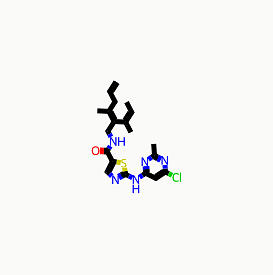 C=CC/C(C)=C(CNC(=O)c1cnc(Nc2cc(Cl)nc(C)n2)s1)\C(C)=C/C